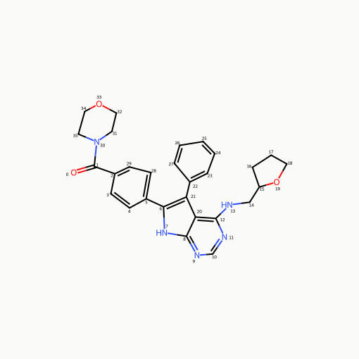 O=C(c1ccc(-c2[nH]c3ncnc(NCC4CCCO4)c3c2-c2ccccc2)cc1)N1CCOCC1